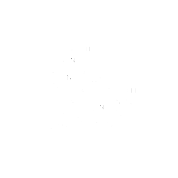 Cc1ccc2ccc3ccc(-c4c5cc6c7ccccc7c7cccc(c5c(-c5ccc8ccc9ccc(C)nc9c8n5)c5c8cccc9cccc(c45)c98)c76)nc3c2n1